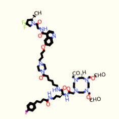 C#C[C@H]1CC(F)(F)CN1C(=O)CNC(=O)c1ccnc2ccc(OCCCCN3CCN(C(=O)CCCCCNC(=O)[C@H](CCCNC(=O)CCCc4ccc(I)cc4)NC(=O)CN4CCN(COC=O)CCN(COC=O)CCN(CC(=O)O)CC4)CC3)cc12